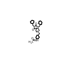 CC(=O)Nc1ccc(CN2CCC3(CC2)C(=O)N(Cc2ccccc2)C(=O)N3Cc2ccccc2)cc1